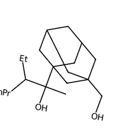 CCCC(CC)C(C)(O)C12CC3CC(CC(CO)(C3)C1)C2